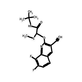 C#Cc1cc2ccc(F)c(F)c2nc1OC(SC)C(=O)NC(C)(C)C